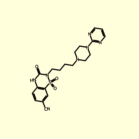 N#Cc1ccc2c(c1)S(=O)(=O)N(CCCCN1CCN(c3ncccn3)CC1)C(=O)N2